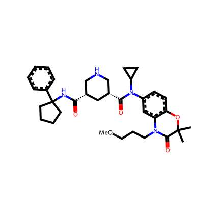 COCCCN1C(=O)C(C)(C)Oc2ccc(N(C(=O)[C@H]3CNC[C@@H](C(=O)NC4(c5ccccc5)CCCC4)C3)C3CC3)cc21